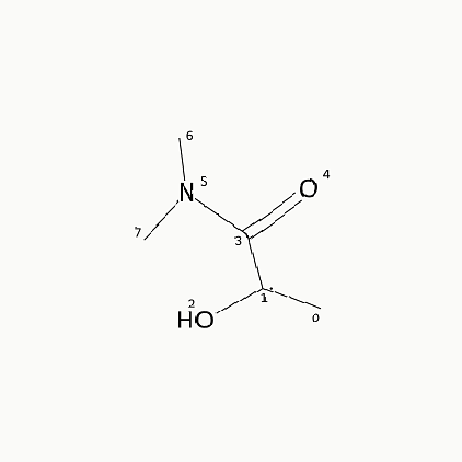 C[C](O)C(=O)N(C)C